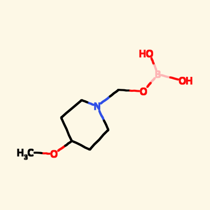 COC1CCN(COB(O)O)CC1